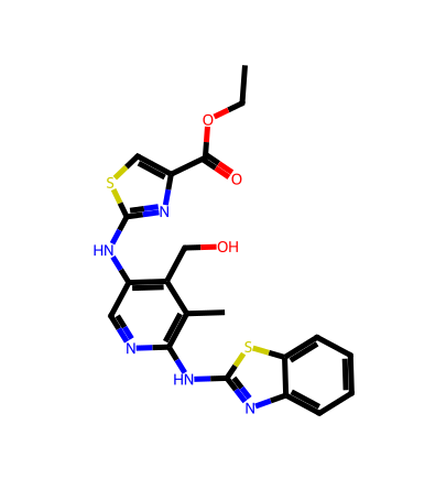 CCOC(=O)c1csc(Nc2cnc(Nc3nc4ccccc4s3)c(C)c2CO)n1